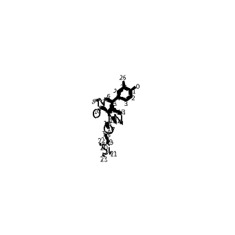 Cc1ccc(-c2cn(C)c(=O)c3c2cnn3COCC[Si](C)(C)C)cc1C